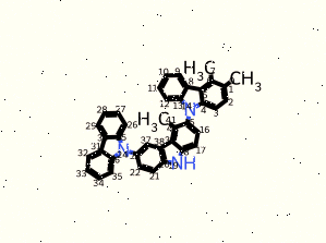 Cc1ccc2c(c1C)c1ccccc1n2-c1ccc2[nH]c3ccc(-n4c5ccccc5c5ccccc54)cc3c2c1C